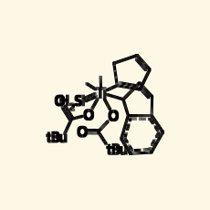 CC(C)(C)C(=O)[O][Ti]([CH3])([CH3])(=[SiH2])([O]C(=O)C(C)(C)C)([C]1=CC=CC1)[CH]1C=Cc2ccccc21